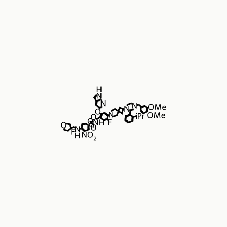 COc1ccc(CN2CCN(C3CC4(CCN(c5cc(Oc6cnc7[nH]ccc7c6)c(C(=O)NS(=O)(=O)c6ccc(NCC7(F)CCOCC7)c([N+](=O)[O-])c6)cc5F)CC4)C3)C(c3ccccc3C(C)C)C2)cc1OC